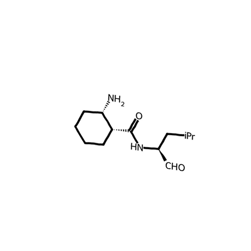 CC(C)C[C@@H](C=O)NC(=O)[C@@H]1CCCC[C@@H]1N